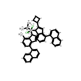 CC1=Cc2c(-c3cccc4ccccc34)ccc(C)c2[CH]1[Zr]([Cl])([Cl])([CH]1C(C2CCC2)=Cc2c(-c3cccc4ccccc34)cccc21)[SiH](C)C